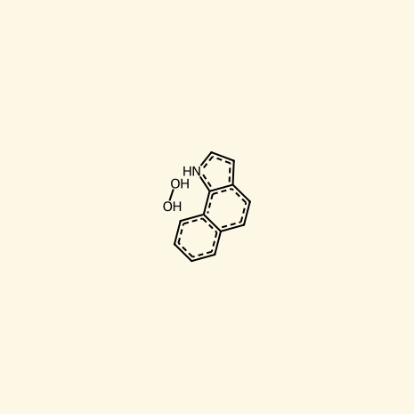 OO.c1ccc2c(c1)ccc1cc[nH]c12